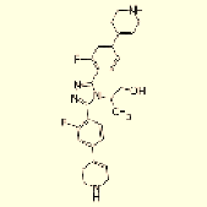 CC(CO)n1c(-c2ccc(C3=CCNCC3)cc2F)nnc1-c1ccc(C2=CCNCC2)cc1F